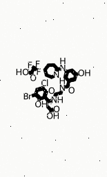 O=C(O)C(F)(F)F.O=C(O)C[C@@H](NC(=O)CNC(=O)c1cc(O)cc(NC2=NCCCCC2)c1)c1cc(Cl)cc(Br)c1O